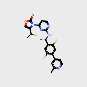 Cc1cc(-c2cc(F)c([C@H](C)Nc3nccc(-n4c([C@H](C)F)coc4=O)n3)cc2F)ccn1